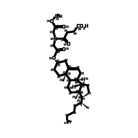 CC(C)CCC[C@@H](C)[C@H]1CC[C@H]2[C@@H]3CC=C4C[C@@H](OC(=O)CN(CC(=O)OC(C)(C)C)C(=O)CCC(=O)O)CC[C@]4(C)C3CC[C@]12C